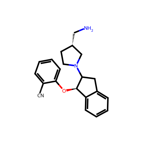 N#Cc1ccccc1O[C@@H]1c2ccccc2CC1N1CC[C@H](CN)C1